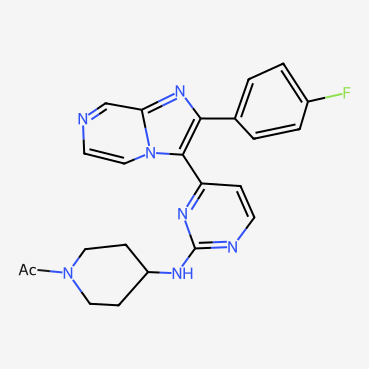 CC(=O)N1CCC(Nc2nccc(-c3c(-c4ccc(F)cc4)nc4cnccn34)n2)CC1